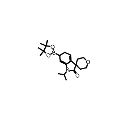 CC(C)N1C(=O)C2(CCOCC2)C2=CCC(B3OC(C)(C)C(C)(C)O3)C=C21